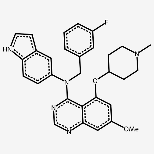 COc1cc(OC2CCN(C)CC2)c2c(N(Cc3cccc(F)c3)c3ccc4[nH]ccc4c3)ncnc2c1